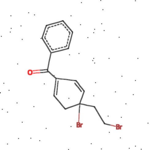 O=C(C1=CCC(Br)(CCBr)C=C1)c1ccccc1